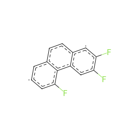 Fc1[c]c2ccc3c[c]cc(F)c3c2cc1F